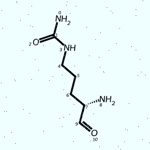 NC(=O)NCCC[C@H](N)C=O